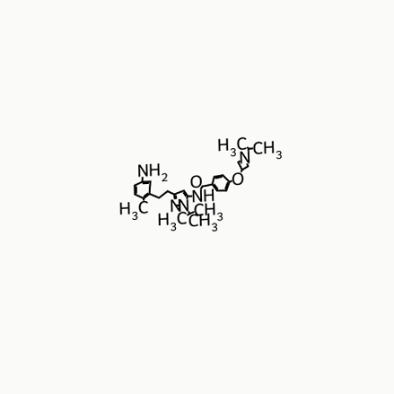 Cc1ccc(N)cc1CCc1cc(NC(=O)c2ccc(OC3CN(C(C)C)C3)cc2)n(C(C)(C)C)n1